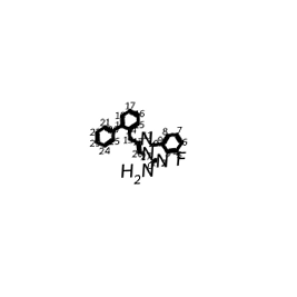 Nc1nc2c(F)cccc2c2nc(Cc3ccccc3-c3ccccc3)cn12